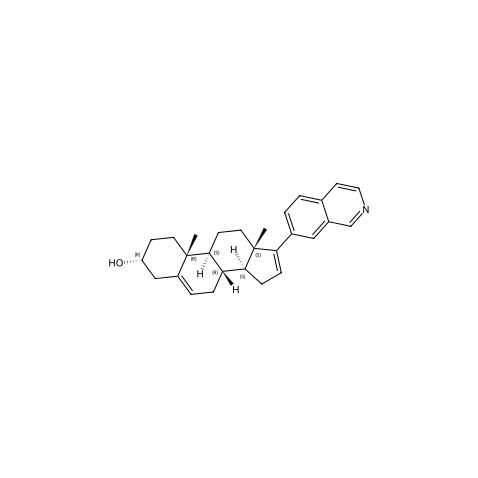 C[C@]12CC[C@@H](O)CC1=CC[C@@H]1[C@@H]2CC[C@]2(C)C(c3ccc4ccncc4c3)=CC[C@@H]12